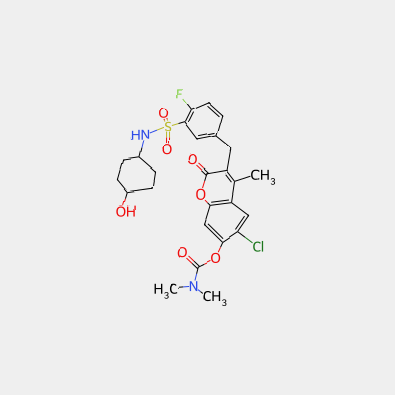 Cc1c(Cc2ccc(F)c(S(=O)(=O)NC3CCC(O)CC3)c2)c(=O)oc2cc(OC(=O)N(C)C)c(Cl)cc12